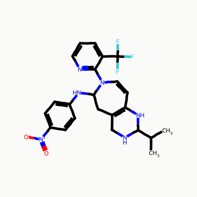 CC(C)C1NCC2=C(C=CN(c3ncccc3C(F)(F)F)C(Nc3ccc([N+](=O)[O-])cc3)C2)N1